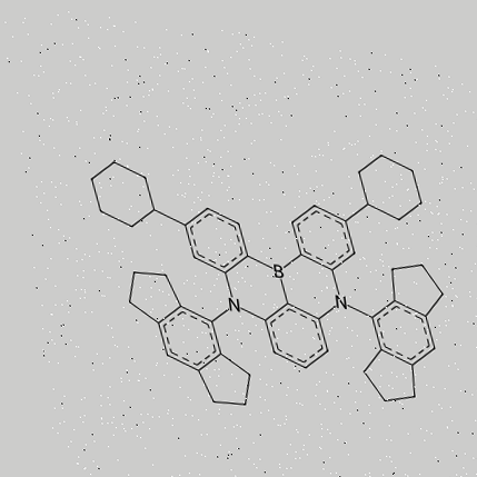 c1cc2c3c(c1)N(c1c4c(cc5c1CCC5)CCC4)c1cc(C4CCCCC4)ccc1B3c1ccc(C3CCCCC3)cc1N2c1c2c(cc3c1CCC3)CCC2